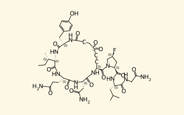 CC[C@H](C)[C@@H]1NC(=O)[C@H](Cc2ccc(O)cc2)NC(=O)CCS(=O)(=O)CC[C@@H](C(=O)N2C[C@@H](F)C[C@H]2C(=O)N[C@@H](CC(C)C)C(=O)NCC(N)=O)NC(=O)[C@H](CC(N)=O)NC(=O)[C@H](CCC(N)=O)NC1=O